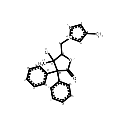 Cc1cnn(CC2OC(=O)C(c3ccccc3)(c3ccccc3)C2(C)Cl)c1